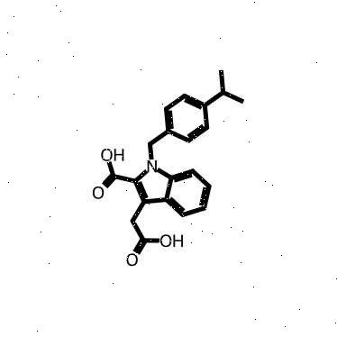 CC(C)c1ccc(Cn2c(C(=O)O)c(CC(=O)O)c3ccccc32)cc1